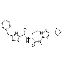 CN1C(=O)[C@@H](NC(=O)c2ncn(Cc3ccccc3)n2)CCn2nc(C3CCC3)cc21